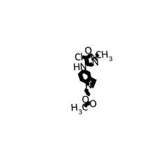 CC(=O)OCCn1ccc2cc(Nc3cnn(C)c(=O)c3Cl)ccc21